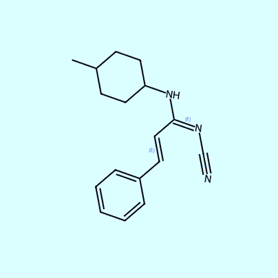 CC1CCC(NC(/C=C/c2ccccc2)=N/C#N)CC1